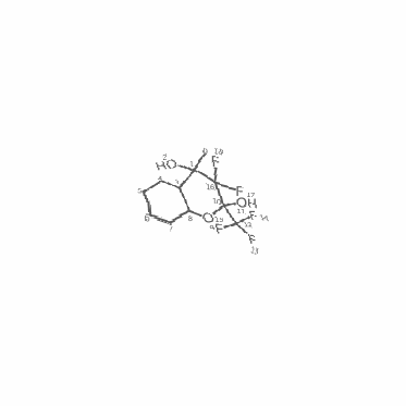 CC1(O)C2CCCCC2OC(O)(C(F)(F)F)C1(F)F